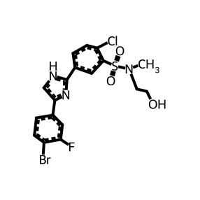 CN(CCO)S(=O)(=O)c1cc(-c2nc(-c3ccc(Br)c(F)c3)c[nH]2)ccc1Cl